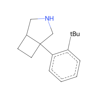 CC(C)(C)c1ccccc1C12CCC1CNC2